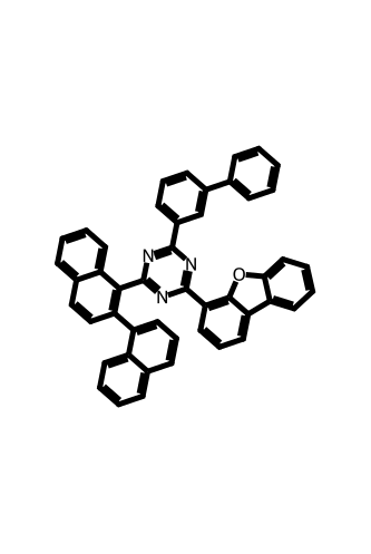 c1ccc(-c2cccc(-c3nc(-c4c(-c5cccc6ccccc56)ccc5ccccc45)nc(-c4cccc5c4oc4ccccc45)n3)c2)cc1